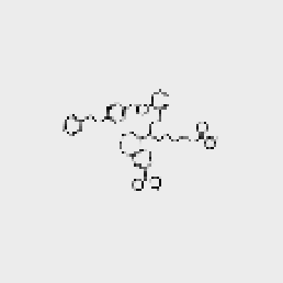 COC(=O)CCCCCC(CCc1ccccc1OCc1ccc(CCc2ccccc2)cc1)C1CCCCc2cc(C(=O)OC)ccc21